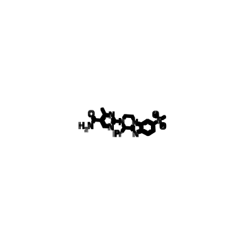 Cc1nc(N2CCn3c(nc4ccc(S(C)(=O)=O)cc43)C2C(C)C)ncc1C(N)=O